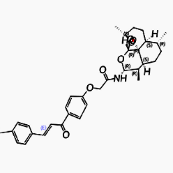 C[C@H]1[C@H](NC(=O)COc2ccc(C(=O)/C=C/c3ccc(Cl)cc3)cc2)O[C@@H]2O[C@]3(C)CC[C@H]4[C@H](C)CC[C@@H]1[C@@]24OO3